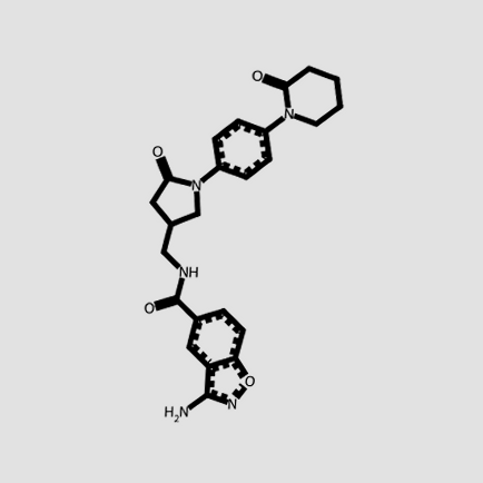 Nc1noc2ccc(C(=O)NCC3CC(=O)N(c4ccc(N5CCCCC5=O)cc4)C3)cc12